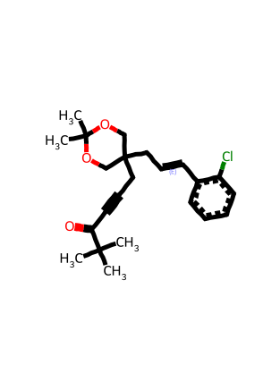 CC1(C)OCC(CC#CC(=O)C(C)(C)C)(C/C=C/c2ccccc2Cl)CO1